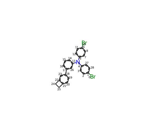 Brc1ccc(N(c2ccc(Br)cc2)c2cccc(-c3ccc4c(c3)CC4)c2)cc1